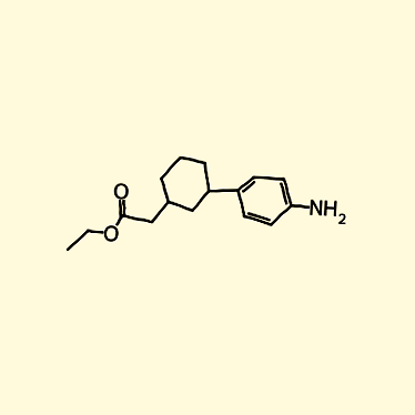 CCOC(=O)CC1CCCC(c2ccc(N)cc2)C1